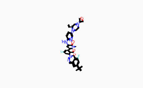 CC[C@H]1CN(C2COC2)CCN1c1ccc(Nc2cc(-c3cc(F)cc(-n4ncc5cc(C(C)(C)C)cc(F)c5c4=O)c3C=O)cn(C)c2=O)nc1